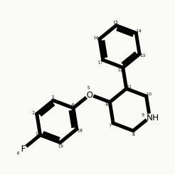 Fc1ccc(OC2CCNCC2c2cc[c]cc2)cc1